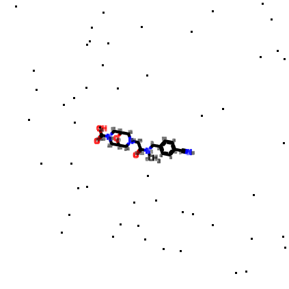 CN(Cc1ccc(C#N)cc1)C(=O)CN1CC2CN(C(=O)O)CC(C1)O2